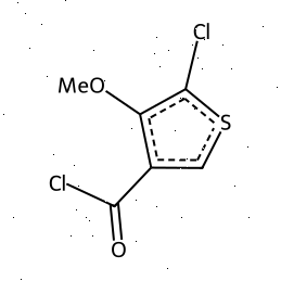 COc1c(C(=O)Cl)csc1Cl